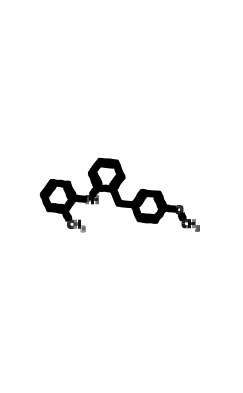 COc1ccc(Cc2ccccc2Pc2ccccc2C)cc1